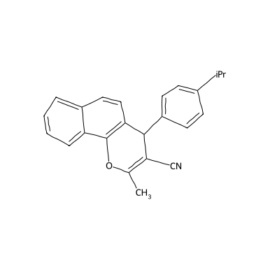 CC1=C(C#N)C(c2ccc(C(C)C)cc2)c2ccc3ccccc3c2O1